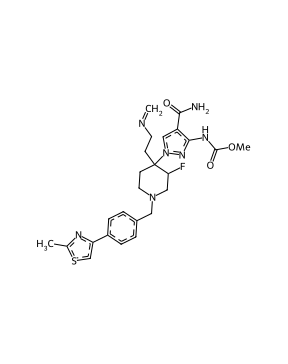 C=NCCC1(n2cc(C(N)=O)c(NC(=O)OC)n2)CCN(Cc2ccc(-c3csc(C)n3)cc2)CC1F